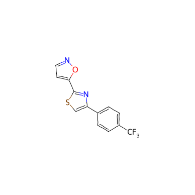 FC(F)(F)c1ccc(-c2csc(-c3ccno3)n2)cc1